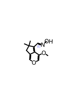 COC1=COC=C2CC(C)(C)C(/C=N/O)=C21